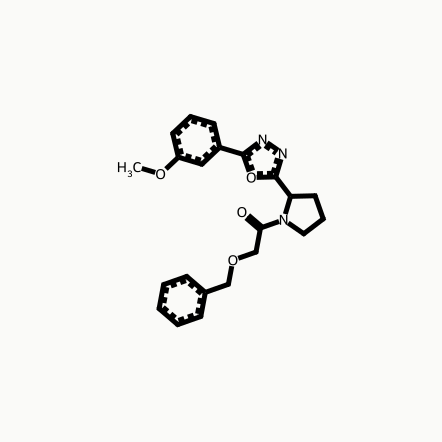 COc1cccc(-c2nnc(C3CCCN3C(=O)COCc3ccccc3)o2)c1